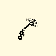 OC[C@H]1[C@@H](O)C(O)[C@@H](O)CN1CCCCCOCc1ccc(-c2ccccc2)c(F)c1